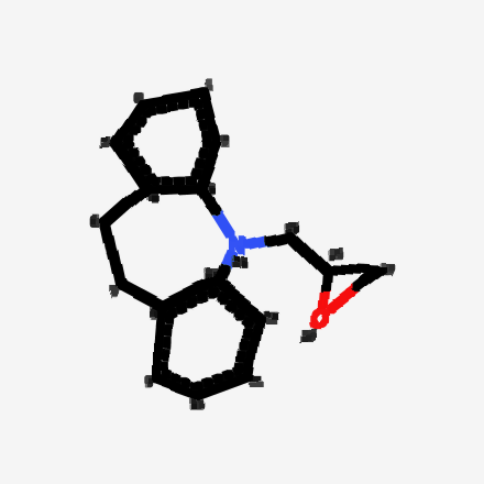 c1ccc2c(c1)CCc1ccccc1N2CC1CO1